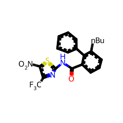 CCCCc1cccc(C(=O)Nc2nc(C(F)(F)F)c([N+](=O)[O-])s2)c1-c1ccccc1